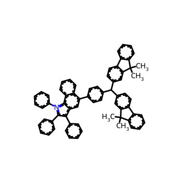 CC1(C)c2ccccc2-c2ccc(C(c3ccc(-c4cc5c(-c6ccccc6)c(-c6ccccc6)n(-c6ccccc6)c5c5ccccc45)cc3)c3ccc4c(c3)C(C)(C)c3ccccc3-4)cc21